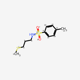 CSCCCNS(=O)(=O)c1ccc(C)cc1